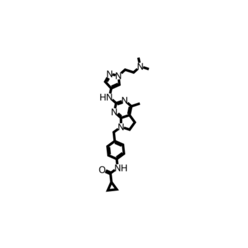 Cc1nc(Nc2cnn(CCN(C)C)c2)nc2c1CCN2Cc1ccc(NC(=O)C2CC2)cc1